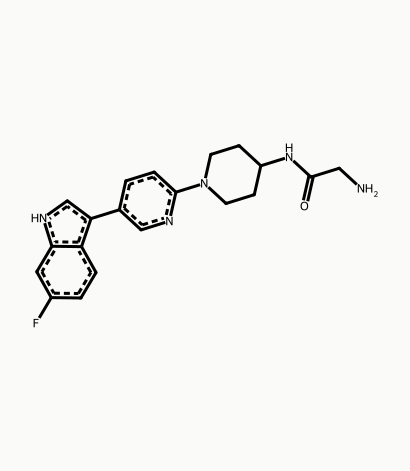 NCC(=O)NC1CCN(c2ccc(-c3c[nH]c4cc(F)ccc34)cn2)CC1